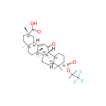 CC1(C)[C@@H](C(=O)OC(C)(C)C(F)(F)F)CC[C@]2(C)[C@H]3C(=O)C=C4[C@@H]5C[C@@](C)(C(=O)O)CC[C@]5(C)CC[C@@]4(C)[C@]3(C)CC[C@@H]12